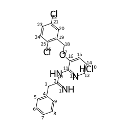 Cl.N=C(Cc1ccccc1)Nc1ncccc1OCc1cc(Cl)ccc1Cl